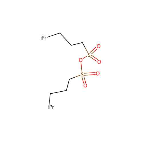 CC(C)CCCS(=O)(=O)OS(=O)(=O)CCCC(C)C